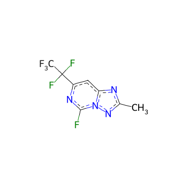 Cc1nc2cc(C(F)(F)C(F)(F)F)nc(F)n2n1